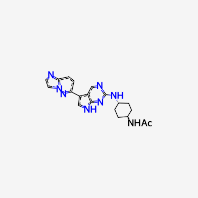 CC(=O)N[C@H]1CC[C@H](Nc2ncc3c(-c4ccc5nccn5n4)c[nH]c3n2)CC1